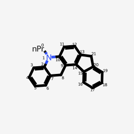 CCCN1c2ccccc2Cc2c1ccc1c2-c2ccccc2C1